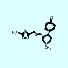 Cc1noc(CSC[C@H]2CN(C)CC[C@@H]2c2ccc(Cl)cc2)n1